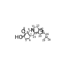 COc1c(O)ccc2c1CN1CCc3sc(CC(C)C)cc3C1C2